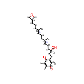 CC1=C(C)C(=O)C(CC[C@](C)(O)CC/C=C(\C)CC/C=C(\C)CCC=C2COC2)=C(C)C1=O